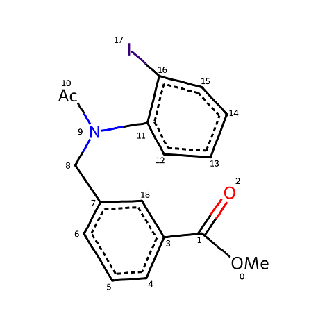 COC(=O)c1cccc(CN(C(C)=O)c2ccccc2I)c1